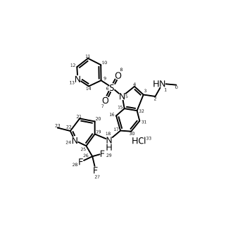 CNCc1cn(S(=O)(=O)c2cccnc2)c2cc(Nc3ccc(C)nc3C(F)(F)F)ccc12.Cl